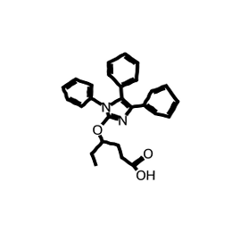 CCC(CCC(=O)O)Oc1nc(-c2ccccc2)c(-c2ccccc2)n1-c1ccccc1